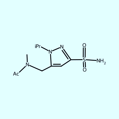 CC(=O)N(C)Cc1cc(S(N)(=O)=O)nn1C(C)C